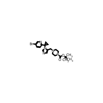 CC(C)(C)OC(=O)N1CCN(Cc2cncn2C2(c3ccc(Br)cn3)CC2)CC1